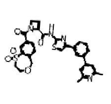 Cc1cc(-c2cccc(-c3csc(NC(=O)[C@@H]4CCN4C(=O)c4ccc5c(c4)S(=O)(=O)CCOC5)n3)c2)cc(C)n1